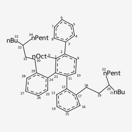 CCCCCCCCc1c(-c2ccccc2)ccc(-c2ccccc2CCC(CCCC)CCCCC)c1-c1ccccc1CCC(CCCC)CCCCC